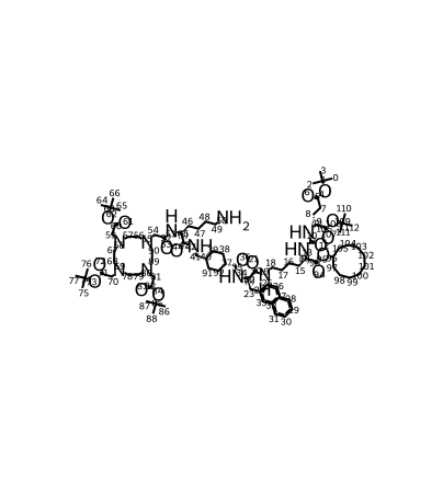 CC(C)(C)OC(=O)CC[C@@H](NC(=O)N[C@H](CCCCNC(=O)[C@@H](Cc1ccc2ccccc2c1)NC(=O)[C@H]1CC[C@H](CNC(=O)[C@H](CCCCN)NC(=O)CN2CCN(CC(=O)OC(C)(C)C)CCN(CC(=O)OC(C)(C)C)CCN(CC(=O)OC(C)(C)C)CC2)CC1)C(=O)OC1CCCCCCCCC1)C(=O)OC(C)(C)C